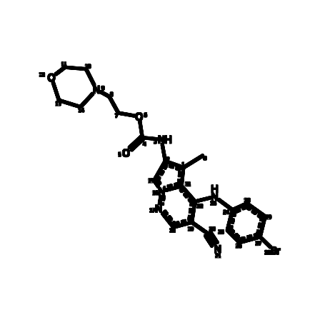 Cc1c(NC(=O)OCCN2CCOCC2)cn2ncc(C#N)c(Nc3ccc(Br)cc3)c12